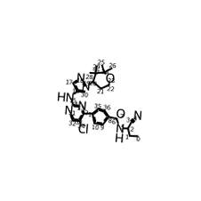 CCC(C#N)NC(=O)c1ccc(-c2nc(Nc3cnn(C4CCOC(C)(C)C4(C)C)c3)ncc2Cl)cc1